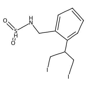 O=[SH](=O)NCc1ccccc1C(CI)CI